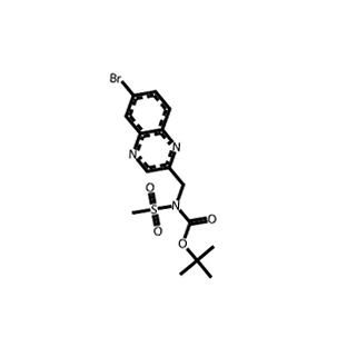 CC(C)(C)OC(=O)N(Cc1cnc2cc(Br)ccc2n1)S(C)(=O)=O